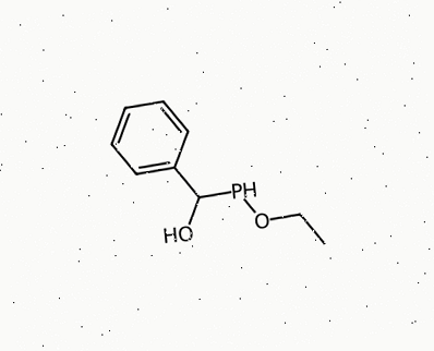 CCOPC(O)c1ccccc1